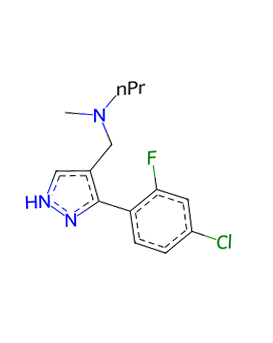 CCCN(C)Cc1c[nH]nc1-c1ccc(Cl)cc1F